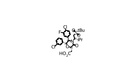 CC(C)[C@@H](CS(=O)(=O)C(C)(C)C)N1C(=O)[C@H](CC(=O)O)O[C@H](c2cccc(Cl)c2)[C@H]1c1ccc(Cl)c(F)c1